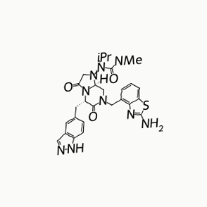 CNC(=O)N(C(C)C)N1CC(=O)N2[C@@H](Cc3ccc4[nH]ncc4c3)C(=O)N(Cc3cccc4sc(N)nc34)C[C@@H]21